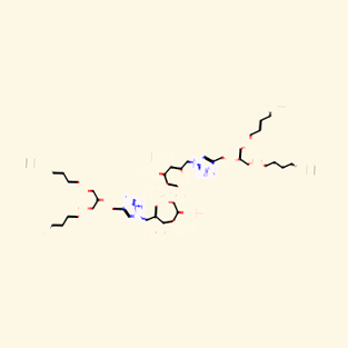 CCCCCOCC(COCCCCC)OCc1cn(CC2CO[C@H](O[C@H]3OC(Cn4cc(COC(COCCCCC)COCCCCC)nn4)[C@@H](O)C(O)C3O)C(O)C(O)[C@@H]2O)nn1